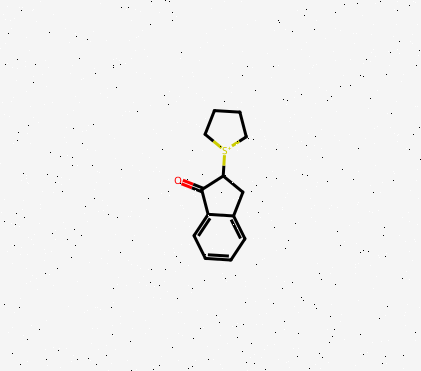 O=C1c2ccccc2CC1[S+]1CCCC1